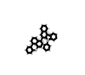 c1ccc(-n2c3ccccc3c3c4ccccc4cc(-c4ccc5c6c(cccc46)-c4ccccc4O5)c32)cc1